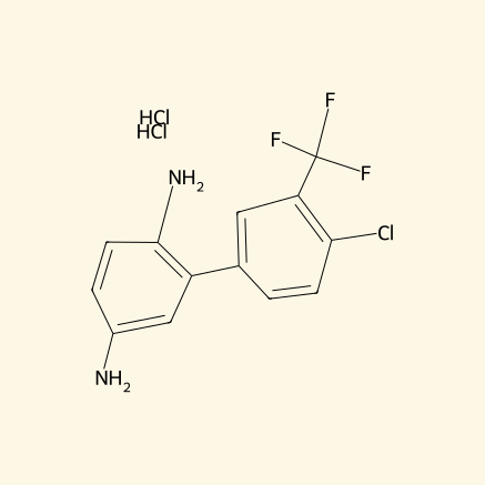 Cl.Cl.Nc1ccc(N)c(-c2ccc(Cl)c(C(F)(F)F)c2)c1